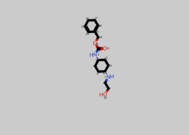 O=C(N[C@H]1CC[C@@H](NCCO)CC1)OCC1=CCCC=C1